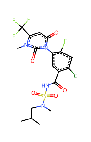 CC(C)CN(C)S(=O)(=O)NC(=O)c1cc(-n2c(=O)cc(C(F)(F)F)n(C)c2=O)c(F)cc1Cl